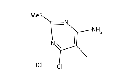 CSc1nc(N)c(C)c(Cl)n1.Cl